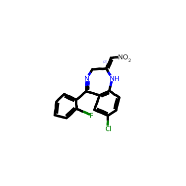 O=[N+]([O-])/C=C1/CN=C(c2ccccc2F)c2cc(Cl)ccc2N1